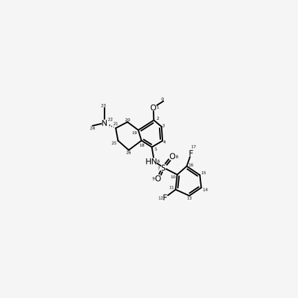 COc1ccc(NS(=O)(=O)c2c(F)cccc2F)c2c1C[C@@H](N(C)C)CC2